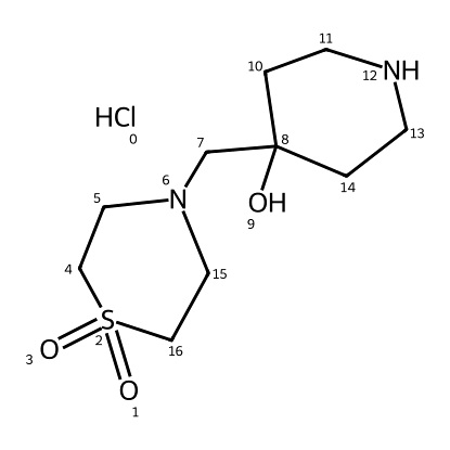 Cl.O=S1(=O)CCN(CC2(O)CCNCC2)CC1